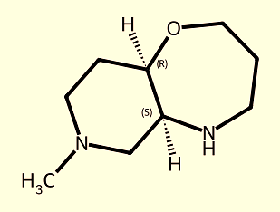 CN1CC[C@H]2OCCCN[C@H]2C1